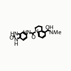 CNC(O)c1cccc2c1CCCN2C(=O)Nc1ccc2[nH]c(=O)[nH]c2c1